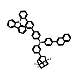 c1cc(N(c2ccc(-c3ccc(-c4ccccc4-n4c5ccccc5c5ccccc54)cc3)cc2)c2ccc(-c3ccc4ccccc4c3)cc2)cc(C23C[C@@H]4CC5C[C@@H](C2)C54C3)c1